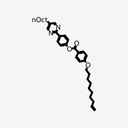 C=CCCCCCCCCOc1ccc(C(=O)Oc2ccc(-c3ncc(CCCCCCCC)cn3)cc2)cc1